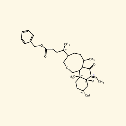 C/C=C1/C(=O)C2C(C)CCC([C@H](C)CCC(=O)OCc3ccccc3)CCCC2[C@@]2(C)CC[C@@H](O)C[C@@H]12